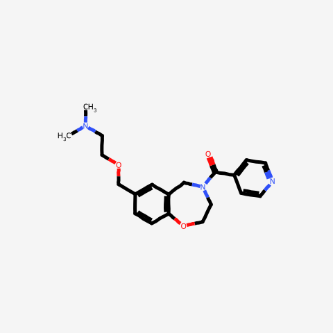 CN(C)CCOCc1ccc2c(c1)CN(C(=O)c1ccncc1)CCO2